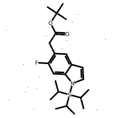 CC(C)[Si](C(C)C)(C(C)C)n1ccc2cc(CC(=O)OC(C)(C)C)c(F)cc21